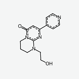 O=c1cc(-c2ccncc2)nc2n1CCCN2CCO